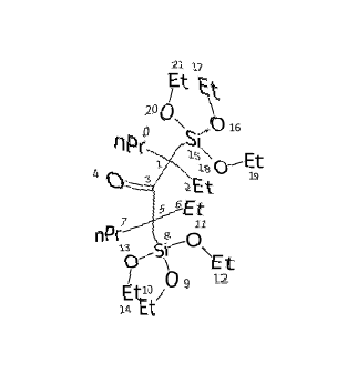 CCCC(CC)(C(=O)C(CC)(CCC)[Si](OCC)(OCC)OCC)[Si](OCC)(OCC)OCC